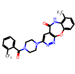 O=C1Nc2c(cccc2C(F)(F)F)Oc2nnc(N3CCN(C(=O)c4ccccc4C(F)(F)F)CC3)cc21